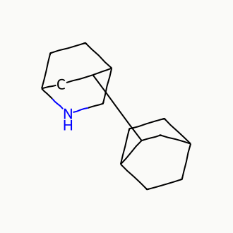 C1CC2CCC1CC2C1CC2CCC1CN2